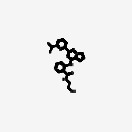 O=C(NCCO)c1cnccc1Nc1nc(-c2cccc(C(F)F)n2)nn2cccc12